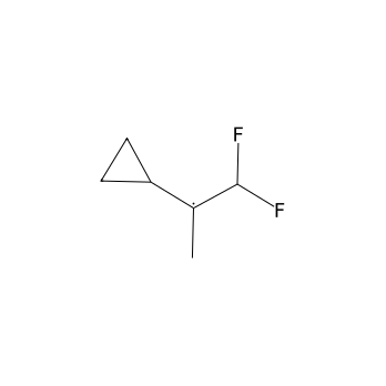 C[C](C(F)F)C1CC1